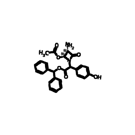 CC(=O)O[C@H]1[C@H](N)C(=O)N1C(C(=O)OC(c1ccccc1)c1ccccc1)c1ccc(O)cc1